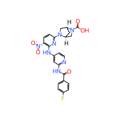 O=C(Nc1cc(Nc2nc(N3C[C@@H]4C[C@H]3CN4C(=O)O)ccc2[N+](=O)[O-])ccn1)c1ccc(F)cc1